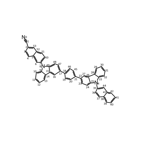 N#Cc1ccc2cc(-n3c4ccccc4c4cc(-c5ccc(-c6ccc7c(c6)c6ccccc6n7-c6ccc7ccccc7c6)cc5)ccc43)ccc2c1